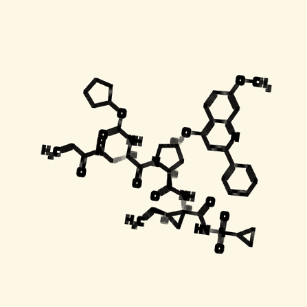 C=CC(=O)NC[C@H](NC(=O)OC1CCCC1)C(=O)N1C[C@H](Oc2cc(-c3ccccc3)nc3cc(OC)ccc23)C[C@H]1C(=O)N[C@]1(C(=O)NS(=O)(=O)C2CC2)C[C@H]1C=C